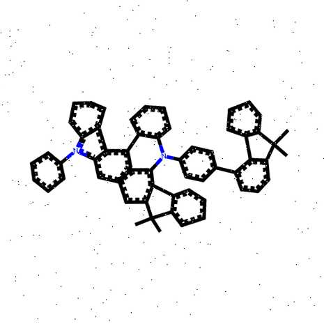 CC1(C)c2ccccc2-c2c(-c3ccc(N(c4ccccc4-c4cccc5c4c4ccccc4n5-c4ccccc4)c4cccc5c4-c4ccccc4C5(C)C)cc3)cccc21